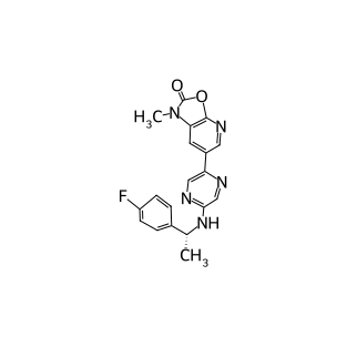 C[C@@H](Nc1cnc(-c2cnc3oc(=O)n(C)c3c2)cn1)c1ccc(F)cc1